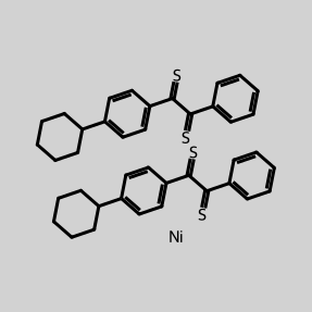 S=C(C(=S)c1ccc(C2CCCCC2)cc1)c1ccccc1.S=C(C(=S)c1ccc(C2CCCCC2)cc1)c1ccccc1.[Ni]